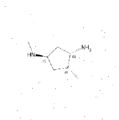 CN[C@@H]1C[C@@H](C)[C@@H](N)C1